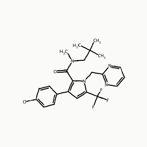 CN(CC(C)(C)C)C(=O)c1c(-c2ccc(Cl)cc2)cc(C(F)(F)F)n1Cc1ncccn1